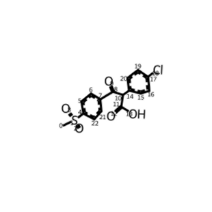 CS(=O)(=O)c1ccc(C(=O)C(C(=O)O)c2ccc(Cl)cc2)cc1